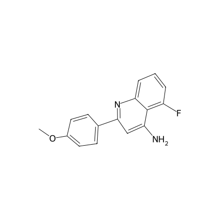 COc1ccc(-c2cc(N)c3c(F)cccc3n2)cc1